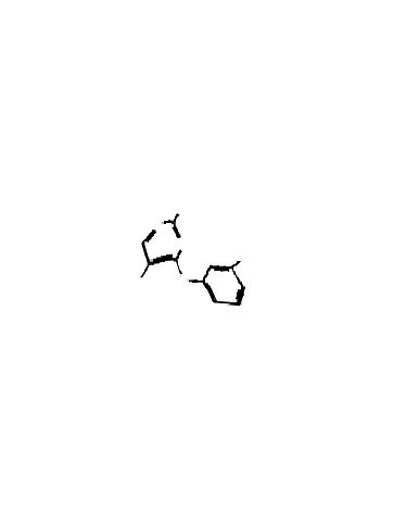 CC(=O)Nc1cccc(Nc2nc(Cl)ncc2Cl)c1